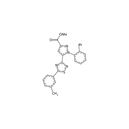 COC(=O)c1cc(-c2nsc(-c3cccc(C)c3)n2)n(-c2ccccc2C(C)C)n1